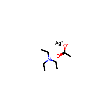 CC(=O)[O-].CCN(CC)CC.[Ag+]